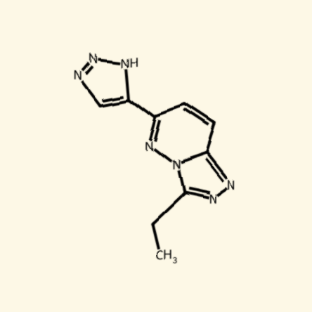 CCc1nnc2ccc(-c3cnn[nH]3)nn12